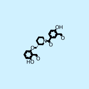 O=Cc1cc(C(=O)N2CCC[C@@H](COc3cccc(O)c3C=O)C2)ccc1O